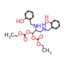 CCOC(=O)OC(OC(=O)OCC)C(CNCc1ccccc1O)NCc1ccccc1O